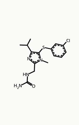 CC(C)c1nc(CNC(N)=O)n(C)c1Sc1cccc(Cl)c1